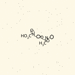 Cc1oc(-c2ccccc2)nc1COc1ccc(CN2CCOCC2C(=O)O)cc1